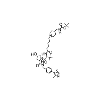 Cc1ncsc1-c1ccc(CNC(=O)[C@@H]2C[C@@H](O)CN2C(=O)[C@@H](NC(=O)CCCCCN2CCC(CNC(=O)OC(C)(C)C)CC2)C(C)(C)C)cc1